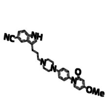 COc1ccn(-c2ccc(N3CCN(CCCc4c[nH]c5ccc(C#N)cc45)CC3)cc2)c(=O)c1